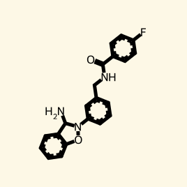 NC1c2ccccc2ON1c1cccc(CNC(=O)c2ccc(F)cc2)c1